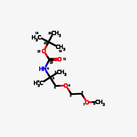 COCCOCC(C)(C)NC(=O)OC(C)(C)C